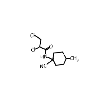 CC1CCC(C#N)(NC(=O)C(Cl)CCl)CC1